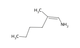 CCCC/C(C)=C\N